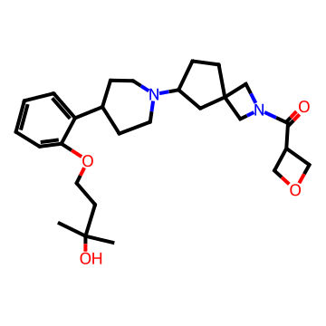 CC(C)(O)CCOc1ccccc1C1CCN(C2CCC3(C2)CN(C(=O)C2COC2)C3)CC1